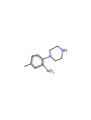 Cc1ccc(N2CCNCC2)c([N+](=O)[O-])c1